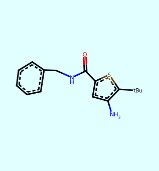 CC(C)(C)c1sc(C(=O)NCc2ccccc2)cc1N